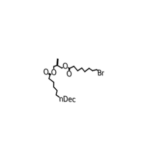 C=C(COC(=O)CCCCCCCBr)COC(=O)CCCCCCCCCCCCCCC